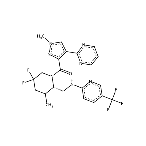 CC1CC(F)(F)CN(C(=O)c2nn(C)cc2-c2ncccn2)[C@@H]1CNc1ccc(C(F)(F)F)cn1